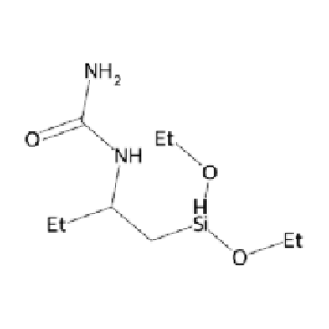 CCO[SiH](CC(CC)NC(N)=O)OCC